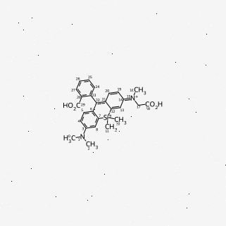 CN(C)c1ccc2c(c1)[Si](C)(C)C1=C/C(=[N+](/C)CC(=O)O)C=CC1=C2c1ccccc1C(=O)O